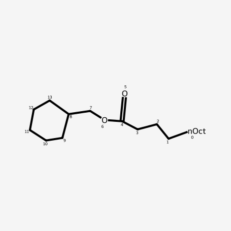 [CH2]CCCCCCCCCCC(=O)OCC1CCCCC1